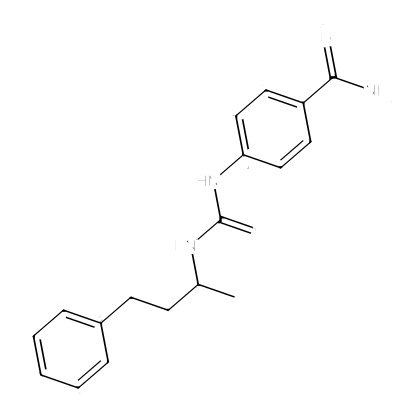 CC(CCc1ccccc1)NC(=S)Nc1ccc(C(N)=O)cc1